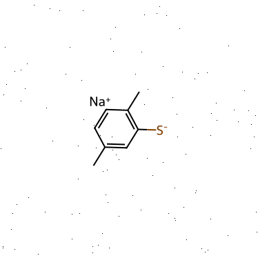 Cc1ccc(C)c([S-])c1.[Na+]